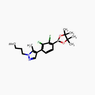 COCCCn1ncc(-c2ccc(B3OC(C)(C)C(C)(C)O3)c(F)c2F)c1C